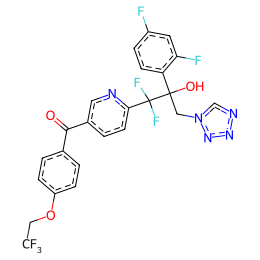 O=C(c1ccc(OCC(F)(F)F)cc1)c1ccc(C(F)(F)C(O)(Cn2cnnn2)c2ccc(F)cc2F)nc1